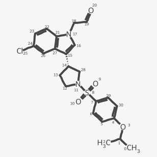 CC(C)Oc1ccc(S(=O)(=O)N2CC[C@H](c3cn(CC=O)c4ccc(Cl)cc34)C2)cc1